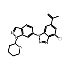 C=C(C)c1cc(Cl)c2nnn(-c3ccc4cnn(C5CCCCO5)c4c3)c2c1